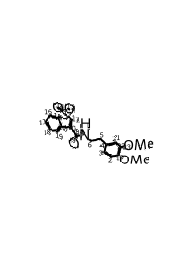 COc1ccc(CCNC(=O)C2=CS(=O)(=O)c3ccccc32)cc1OC